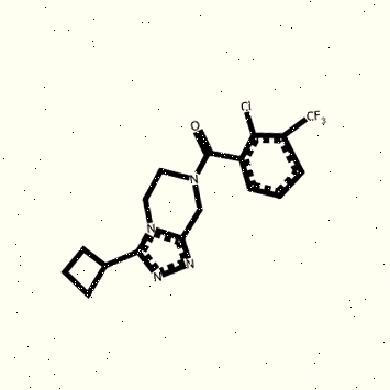 O=C(c1cccc(C(F)(F)F)c1Cl)N1CCn2c(nnc2C2CCC2)C1